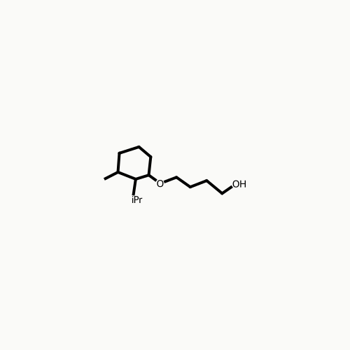 CC(C)C1C(C)CCCC1OCCCCO